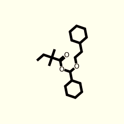 CCC(C)(C)C(=O)OC(OCCC1CCCCC1)C1CCCCC1